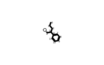 CCCC(C[O])c1ccccc1